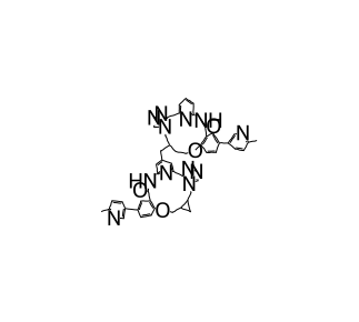 Cc1ccc(-c2ccc3c(c2)C(=O)Nc2cccc(n2)-c2nncn2CC(Cc2cc4nc(c2)-c2nncn2CC2CC2COc2ccc(-c5ccc(C)nc5)cc2C(=O)N4)CCO3)cn1